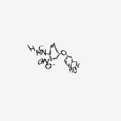 CNc1ccc(Oc2ccnc(/C=N\O)c2)cc1[N+](=O)[O-]